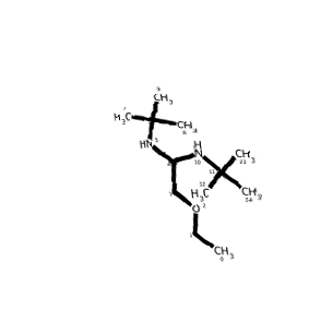 CCOCC(NC(C)(C)C)NC(C)(C)C